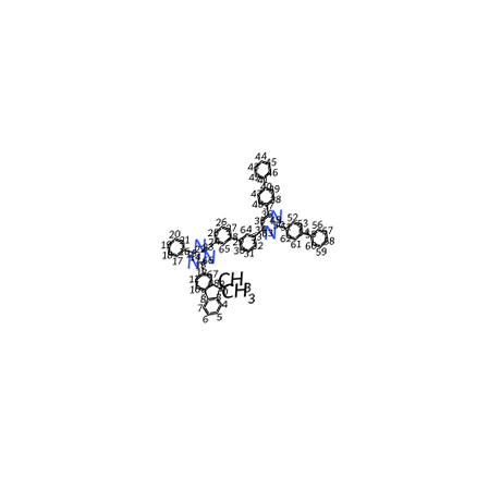 CC1(C)c2ccccc2-c2ccc(-c3nc(-c4ccccc4)nc(-c4cccc(-c5cccc(-c6cc(-c7ccc(-c8ccccc8)cc7)nc(-c7ccc(-c8ccccc8)cc7)n6)c5)c4)n3)cc21